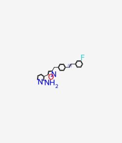 Nc1ncccc1-c1cc(Cc2ccc(/C=C/c3cccc(F)c3)cc2)no1